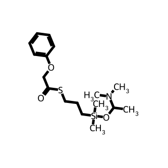 CC(O[Si](C)(C)CCCSC(=O)COc1ccccc1)N(C)C